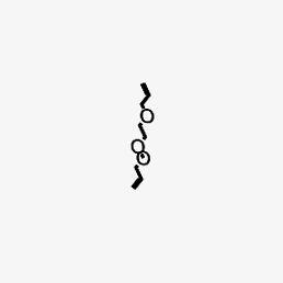 C=CCOCCOOCC=C